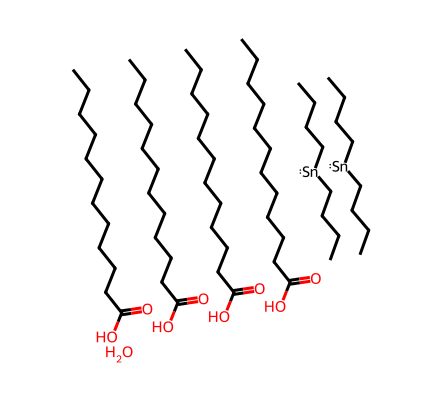 CCCCCCCCCCCC(=O)O.CCCCCCCCCCCC(=O)O.CCCCCCCCCCCC(=O)O.CCCCCCCCCCCC(=O)O.CCC[CH2][Sn][CH2]CCC.CCC[CH2][Sn][CH2]CCC.O